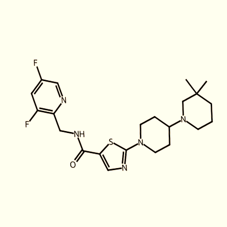 CC1(C)CCCN(C2CCN(c3ncc(C(=O)NCc4ncc(F)cc4F)s3)CC2)C1